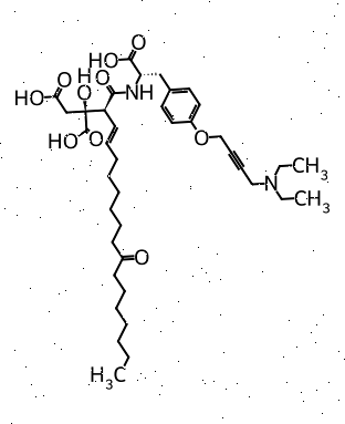 CCCCCCCC(=O)CCCCCC/C=C/[C@H](C(=O)N[C@@H](Cc1ccc(OCC#CCN(CC)CC)cc1)C(=O)O)[C@@](O)(CC(=O)O)C(=O)O